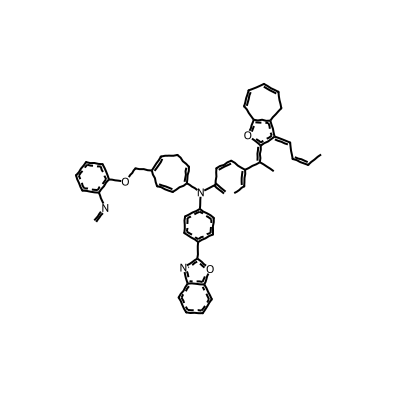 C=Nc1ccccc1OCC1=CCC=C(N(C(=C)\C=C/C(=C\C)C(/C)=c2\oc3c(\c2=C\C=C/C)CC=CC=C3)c2ccc(-c3nc4ccccc4o3)cc2)C=C1